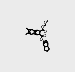 COCOC(=O)C1C2CC(C1C(=O)OC1CC3CC1C1CCCC31)C1C3CC(C(C)C3C)C21